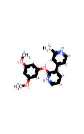 COc1cc(OC)cc(Oc2ncccc2-c2ccnc(C)c2)c1